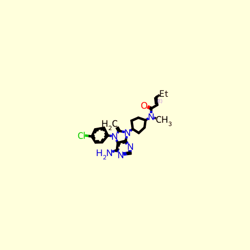 C=C1N(c2ccc(Cl)cc2)c2c(N)ncnc2N1C1CCC(N(C)C(=O)/C=C/CC)CC1